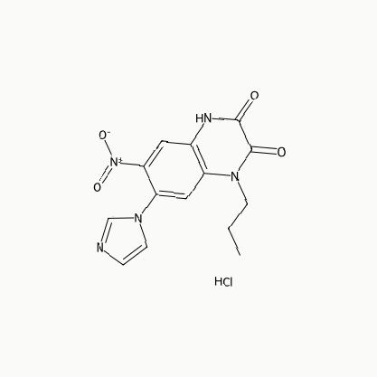 CCCn1c(=O)c(=O)[nH]c2cc([N+](=O)[O-])c(-n3ccnc3)cc21.Cl